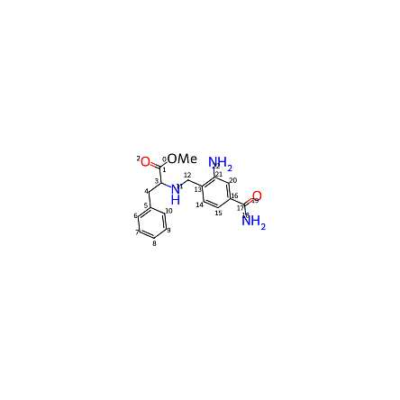 COC(=O)C(Cc1ccccc1)NCc1ccc(C(N)=O)cc1N